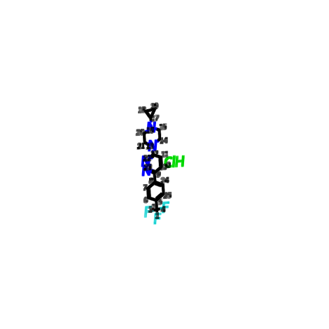 Cl.FC(F)(F)c1ccc(-c2ccc(N3CCN(C4CC4)CC3)nn2)cc1